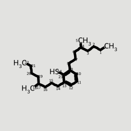 CCCCC(C)CCCc1cccc(CCCC(C)CCCC)c1S